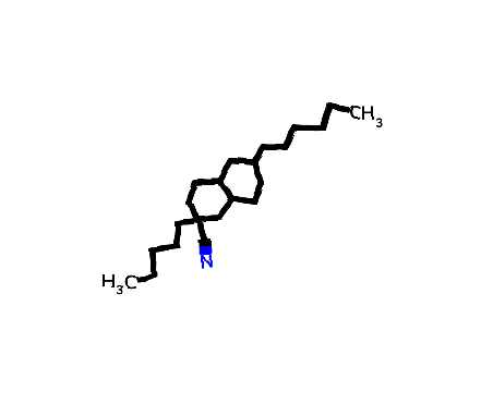 CCCCCCC1CCC2CC(C#N)(CCCCC)CCC2C1